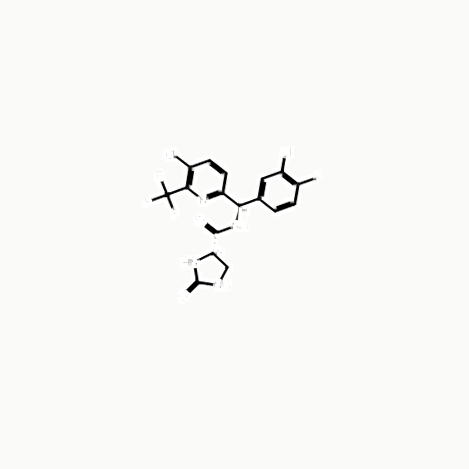 O=C1NC[C@@H](C(=O)N[C@H](c2ccc(F)c(Cl)c2)c2ccc(Cl)c(C(F)(F)F)n2)N1